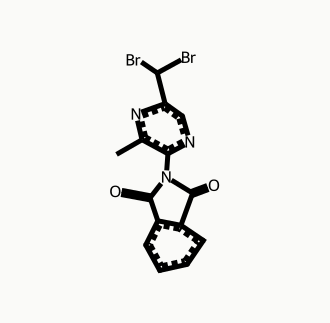 Cc1nc(C(Br)Br)cnc1N1C(=O)c2ccccc2C1=O